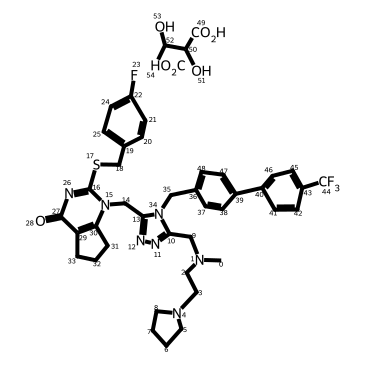 CN(CCN1CCCC1)Cc1nnc(Cn2c(SCc3ccc(F)cc3)nc(=O)c3c2CCC3)n1Cc1ccc(-c2ccc(C(F)(F)F)cc2)cc1.O=C(O)C(O)C(O)C(=O)O